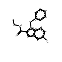 CCOC(=O)c1cc2cc(F)cnc2n1Cc1ccccc1